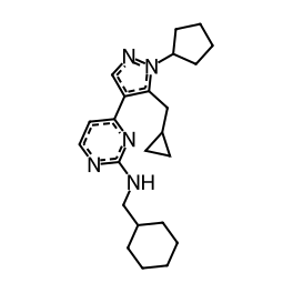 c1cc(-c2cnn(C3CCCC3)c2CC2CC2)nc(NCC2CCCCC2)n1